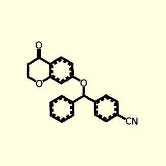 N#Cc1ccc(C(Oc2ccc3c(c2)OCCC3=O)c2ccccc2)cc1